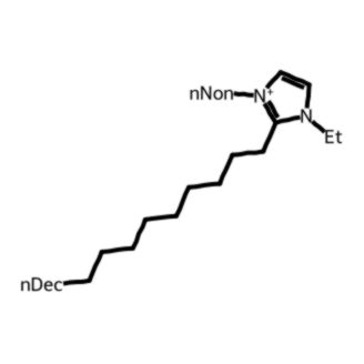 CCCCCCCCCCCCCCCCCCCc1n(CC)cc[n+]1CCCCCCCCC